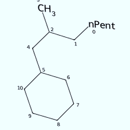 CCCCCCC(C)CC1CCCCC1